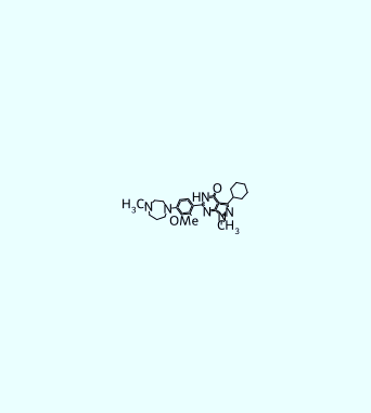 COc1cc(N2CCCN(C)CC2)ccc1-c1nc2c(c(C3CCCCC3)nn2C)c(=O)[nH]1